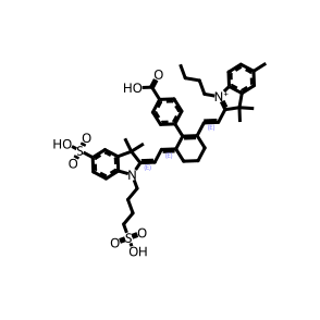 CCCC[N+]1=C(/C=C/C2=C(c3ccc(C(=O)O)cc3)C(=C/C=C3/N(CCCCS(=O)(=O)O)c4ccc(S(=O)(=O)O)cc4C3(C)C)/CCC2)C(C)(C)c2cc(C)ccc21